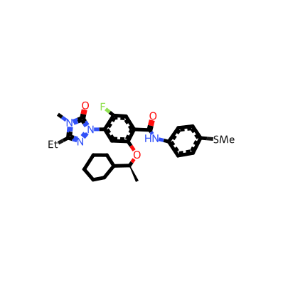 CCc1nn(-c2cc(O[C@@H](C)C3CCCCC3)c(C(=O)Nc3ccc(SC)cc3)cc2F)c(=O)n1C